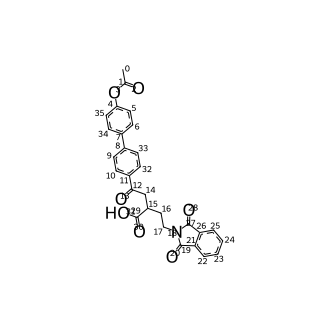 CC(=O)Oc1ccc(-c2ccc(C(=O)CC(CCN3C(=O)c4ccccc4C3=O)C(=O)O)cc2)cc1